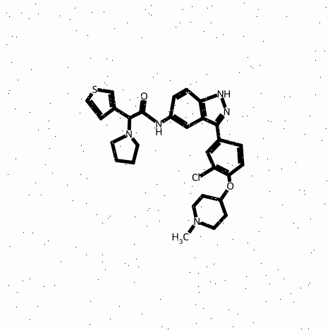 CN1CCC(Oc2ccc(-c3n[nH]c4ccc(NC(=O)C(c5ccsc5)N5CCCC5)cc34)cc2Cl)CC1